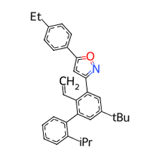 C=Cc1c(-c2cc(-c3ccc(CC)cc3)on2)cc(C(C)(C)C)cc1-c1ccccc1C(C)C